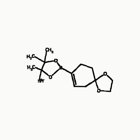 CCCC1(C)OB(C2=CCC3(CC2)OCCO3)OC1(C)C